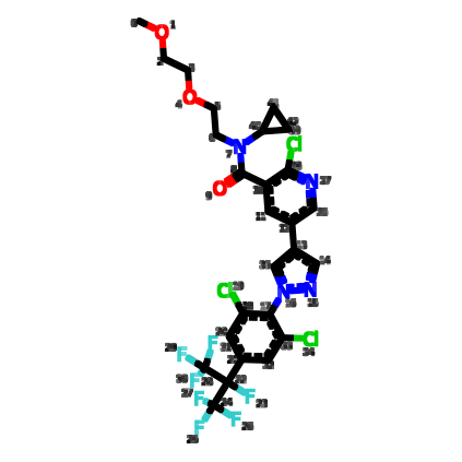 COCCOCCN(C(=O)c1cc(-c2cnn(-c3c(Cl)cc(C(F)(C(F)(F)F)C(F)(F)F)cc3Cl)c2)cnc1Cl)C1CC1